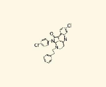 O=C1c2c3c(nc4cc(Cl)ccc24)CCN(CCc2ccccc2)C3N1c1ccc(Cl)cc1